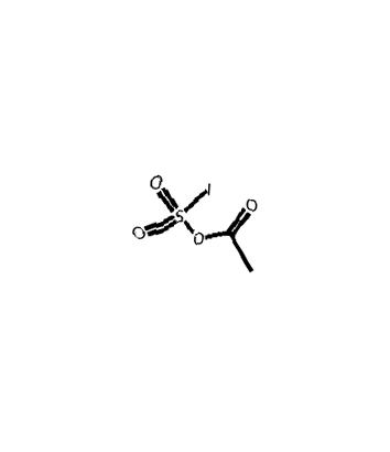 CC(=O)OS(=O)(=O)I